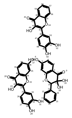 O=C1c2ccc(O)cc2OC(c2ccccc2)C1(O)O.O=c1c(O)c(-c2ccc(O)c(O)c2)oc2cc(O)ccc12.O=c1c(O)c(-c2ccc(O)c(O)c2)oc2ccccc12